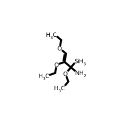 CCOC=C(OCC)C(N)([SiH3])OCC